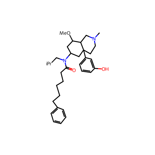 COC1CC(N(CC(C)C)C(=O)CCCCCc2ccccc2)CC2(c3cccc(O)c3)CCN(C)CC12